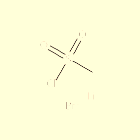 CS(=O)(=O)Cl.[Br-].[Li+]